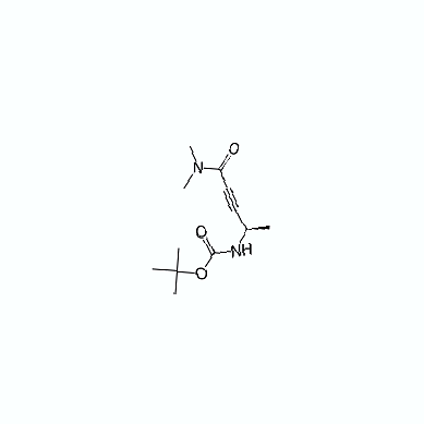 C[C@H](C#CC(=O)N(C)C)NC(=O)OC(C)(C)C